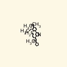 C=C/C=C\C(=C/N(C)C1CCCC1)c1cncc(-c2ccc(N(C)C)c(CC=C)c2)c1